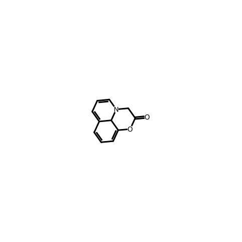 O=C1CN2C=CC=C3C=CC=C(O1)C32